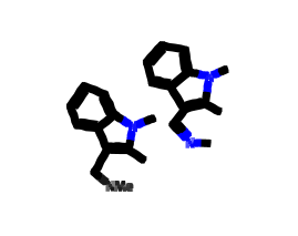 C/N=C\c1c(C)n(C)c2ccccc12.CNCc1c(C)n(C)c2ccccc12